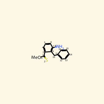 COC(=S)c1cccc(N)c1Cc1ccccc1